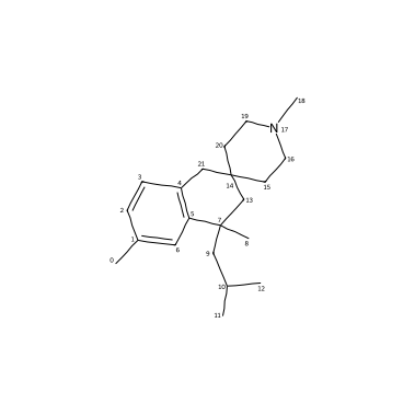 Cc1ccc2c(c1)C(C)(CC(C)C)CC1(CCN(C)CC1)C2